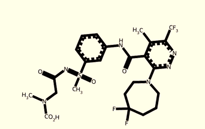 Cc1c(C(F)(F)F)nnc(N2CCCC(F)(F)CC2)c1C(=O)Nc1cccc(S(C)(=O)=NC(=O)CN(C)C(=O)O)c1